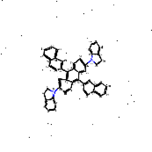 c1ccc2c(c1)CCN2c1ccc2c(-c3ccc4ccccc4c3)c3cc(N4CCc5ccccc54)ccc3c(-c3ccc4ccccc4c3)c2c1